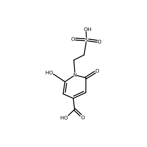 O=C(O)c1cc(O)n(CCS(=O)(=O)O)c(=O)c1